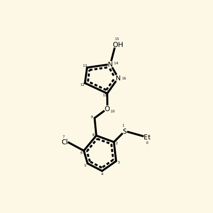 CCSc1cccc(Cl)c1COc1ccn(O)n1